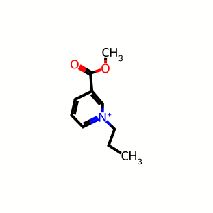 CCC[n+]1cccc(C(=O)OC)c1